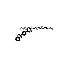 CNCCOCCOCCOc1ncc(-c2ccc(-c3cnc4ccccc4n3)cc2)c(OC)n1